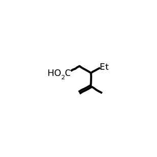 C=C(C)C(CC)CC(=O)O